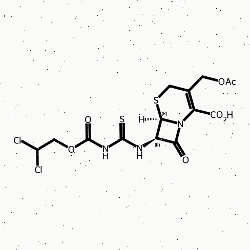 CC(=O)OCC1=C(C(=O)O)N2C(=O)[C@@H](NC(=S)NC(=O)OCC(Cl)Cl)[C@H]2SC1